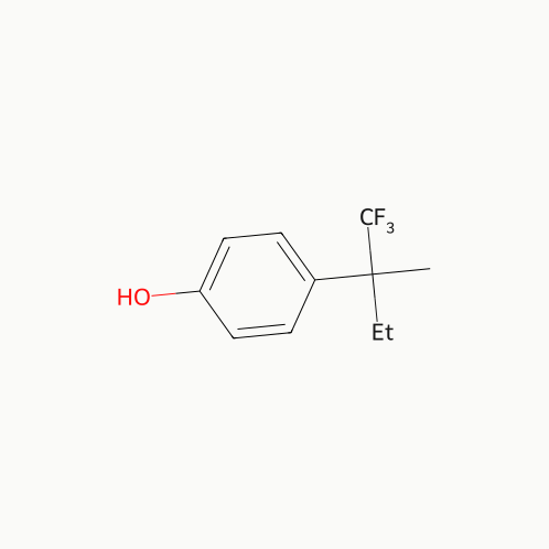 CCC(C)(c1ccc(O)cc1)C(F)(F)F